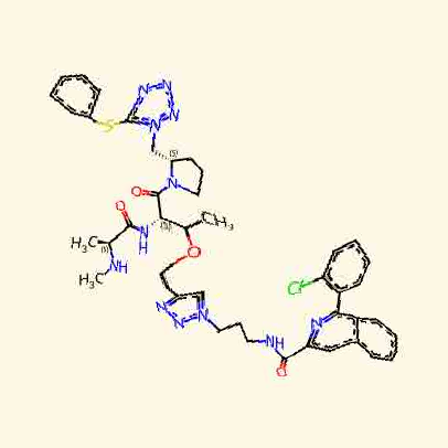 CN[C@@H](C)C(=O)N[C@H](C(=O)N1CCC[C@H]1Cn1nnnc1Sc1ccccc1)C(C)OCc1cn(CCCNC(=O)c2cc3ccccc3c(-c3ccccc3Cl)n2)nn1